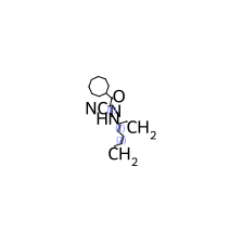 C=C/C=C\C=C(/C=C)N/N=C(\C#N)C(=O)C1CCCCCCC1